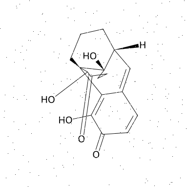 O=C1C=CC2=C[C@H]3CCC[C@]4(C2=C1O)C(O)C(=O)CC[C@@]34O